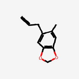 C=CCc1cc2c(cc1C)OCO2